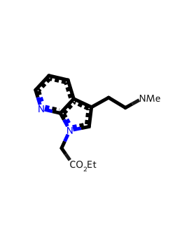 CCOC(=O)Cn1cc(CCNC)c2cccnc21